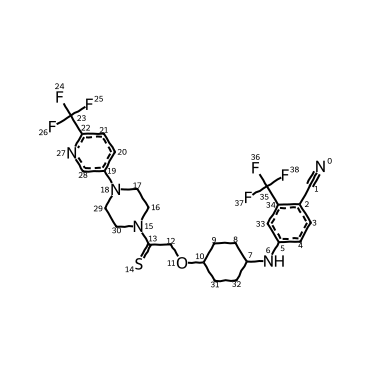 N#Cc1ccc(NC2CCC(OCC(=S)N3CCN(c4ccc(C(F)(F)F)nc4)CC3)CC2)cc1C(F)(F)F